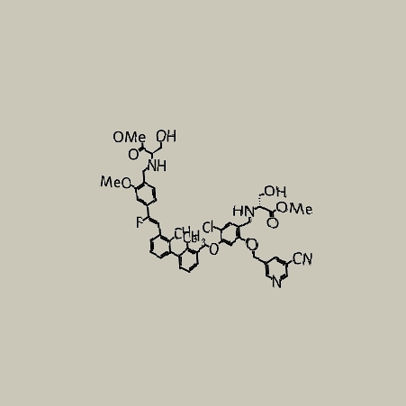 COC(=O)[C@@H](CO)NCc1ccc(/C(F)=C/c2cccc(-c3cccc(COc4cc(OCc5cncc(C#N)c5)c(CN[C@H](CO)C(=O)OC)cc4Cl)c3C)c2C)cc1OC